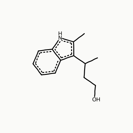 Cc1[nH]c2ccccc2c1C(C)CCO